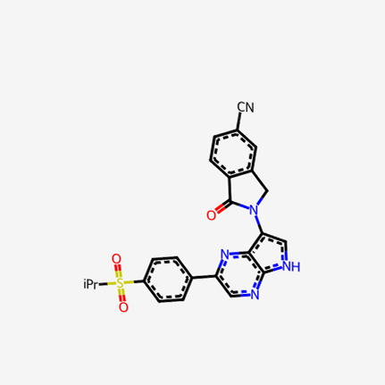 CC(C)S(=O)(=O)c1ccc(-c2cnc3[nH]cc(N4Cc5cc(C#N)ccc5C4=O)c3n2)cc1